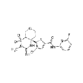 CN1C(=N)N[C@@]2(c3sc(C(=O)Nc4cccc(F)n4)cc3Cl)CCOCC2S1(=O)=O